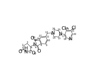 O=C1CCC(N2C(=O)c3ccc(CN4CCN(c5cncc(Cl)c5Cl)CC4)cc3C2=O)C(=O)N1